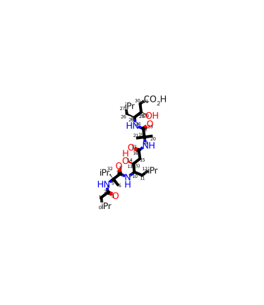 CC(C)CC(=O)N[C@](C)(C(=O)NC(CC(C)C)[C@@H](O)CC(=O)NC(C)(C)C(=O)N[C@@H](CC(C)C)[C@@H](O)CC(=O)O)C(C)C